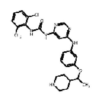 Cc1cccc(Cl)c1NC(=O)Nc1cc(Nc2cccc(OC(C)C3CCNCC3)c2)ncn1